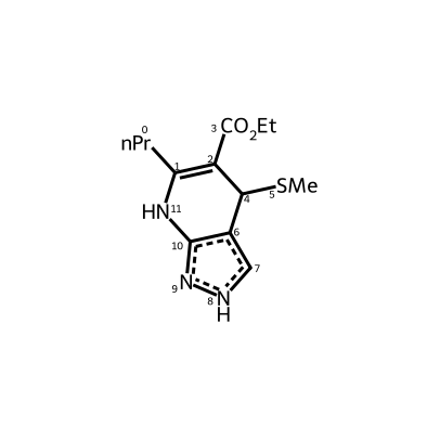 CCCC1=C(C(=O)OCC)C(SC)c2c[nH]nc2N1